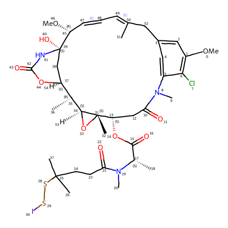 COc1cc2cc(c1Cl)N(C)C(=O)C[C@H](OC(=O)[C@H](C)N(C)C(=O)CCC(C)(C)SSI)[C@]1(C)O[C@H]1[C@H](C)[C@@H]1C[C@@](O)(NC(=O)O1)[C@H](OC)/C=C/C=C(\C)C2